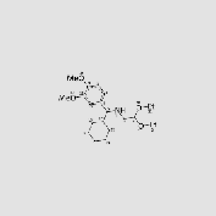 CCOC(CNC(c1ccc(OC)c(OC)c1)C1CCCCC1)OCC